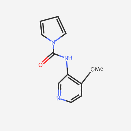 COc1ccncc1NC(=O)n1cccc1